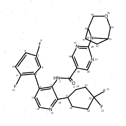 O=C(Nc1c(-c2cc(F)ccc2F)ccnc1C1CCC(F)(F)CC1)c1cnc(N2C3CCC2COC3)nc1